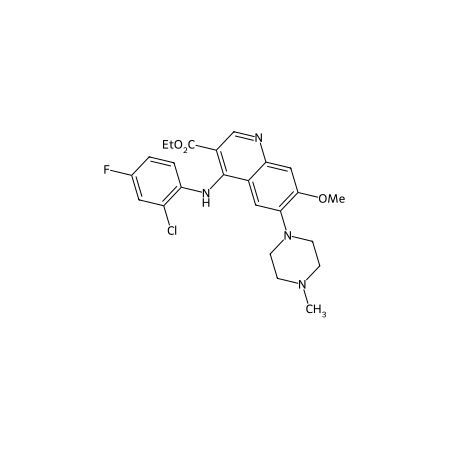 CCOC(=O)c1cnc2cc(OC)c(N3CCN(C)CC3)cc2c1Nc1ccc(F)cc1Cl